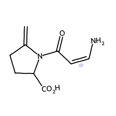 C=C1CCC(C(=O)O)N1C(=O)/C=C\N